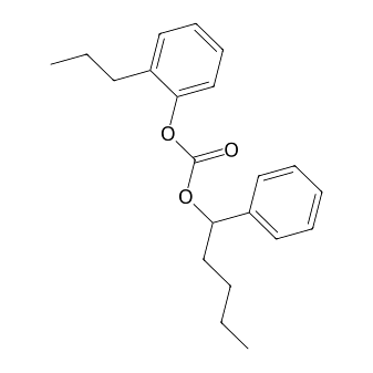 CCCCC(OC(=O)Oc1ccccc1CCC)c1ccccc1